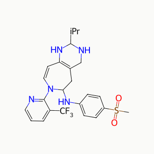 CC(C)C1NCC2=C(C=CN(c3ncccc3C(F)(F)F)C(Nc3ccc(S(C)(=O)=O)cc3)C2)N1